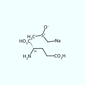 C[S+]([O-])[CH2][Na].N[C@@H](CCC(=O)O)C(=O)O